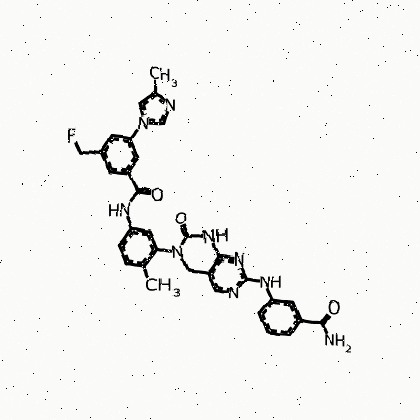 Cc1cn(-c2cc(CF)cc(C(=O)Nc3ccc(C)c(N4Cc5cnc(Nc6cccc(C(N)=O)c6)nc5NC4=O)c3)c2)cn1